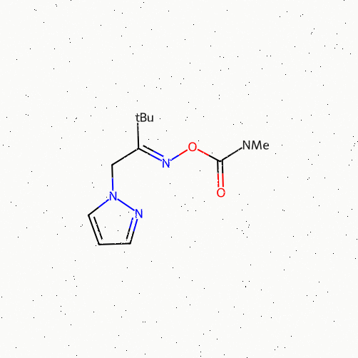 CNC(=O)ON=C(Cn1cccn1)C(C)(C)C